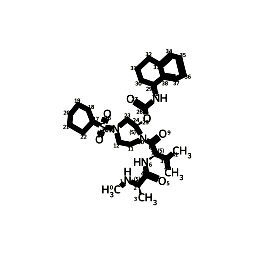 CN[C@@H](C)C(=O)N[C@H](C(=O)N1CCN(S(=O)(=O)C2CCCCC2)C[C@@H]1OC(=O)NC1CCCc2ccccc21)C(C)C